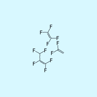 C=C(F)F.FC(F)=C(F)C(F)F.FC(F)=C(F)F